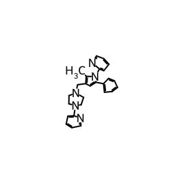 Cc1c(CN2CCN(c3ccccn3)CC2)cc(-c2ccccc2)n1-c1ccccn1